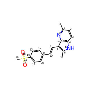 Cc1ccc2[nH]c(C)c(C=Cc3ccc(S(C)(=O)=O)cc3)c2n1